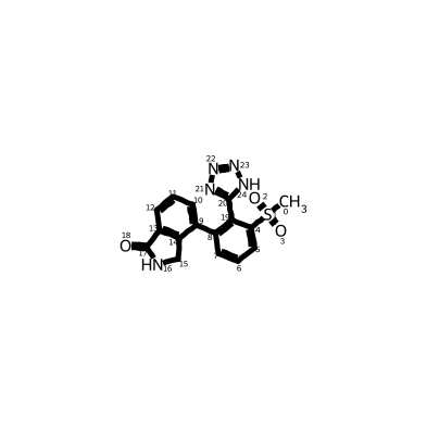 CS(=O)(=O)c1cccc(-c2cccc3c2CNC3=O)c1-c1nnn[nH]1